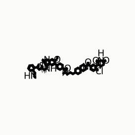 CNCc1ccccc1-c1csc([C@@H](C)Nc2nc(C)nc3cc(OC)c(C4CCC(C(=O)N(C)CCCC5CCC6(CC5)CCN(C(=O)c5ccc(Cl)c(N7CCC(=O)NC7=O)c5)CC6)CC4)cc23)c1